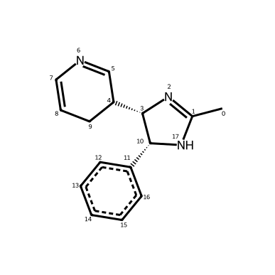 CC1=N[C@@H](C2C=NC=CC2)[C@@H](c2ccccc2)N1